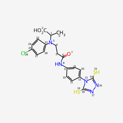 CC(C(=O)O)N(CCC(=O)Nc1ccc(-n2c(S)nnc2S)cc1)c1ccc(Cl)cc1